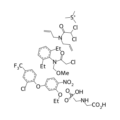 C=CCN(CC=C)C(=O)C(Cl)Cl.CCOc1cc(Oc2ccc(C(F)(F)F)cc2Cl)ccc1[N+](=O)[O-].CCc1cccc(CC)c1N(COC)C(=O)CCl.C[S+](C)C.O=C(O)CNCP(=O)([O-])O